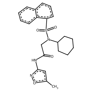 Cc1cc(NC(=O)CN(C2CCCCC2)S(=O)(=O)c2cccc3ccccc23)no1